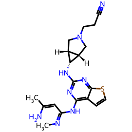 C/N=C(\C=C(\C)N)Nc1nc(N[C@@H]2[C@@H]3CN(CCC#N)C[C@@H]32)nc2sccc12